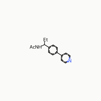 CCC(NC(C)=O)c1ccc(-c2ccncc2)cc1